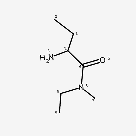 CCC(N)C(=O)N(C)CC